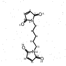 O=C1C=CC(=O)N1CCCCCN1C(=O)C=CC1=O